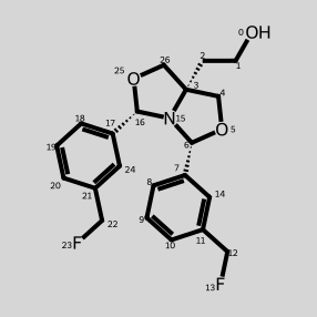 OCC[C@]12CO[C@H](c3cccc(CF)c3)N1[C@H](c1cccc(CF)c1)OC2